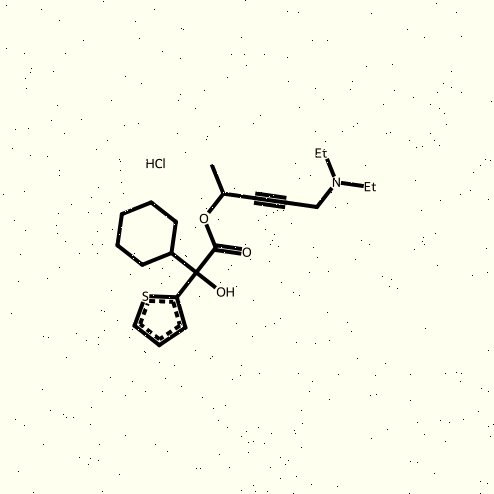 CCN(CC)CC#CC(C)OC(=O)C(O)(c1cccs1)C1CCCCC1.Cl